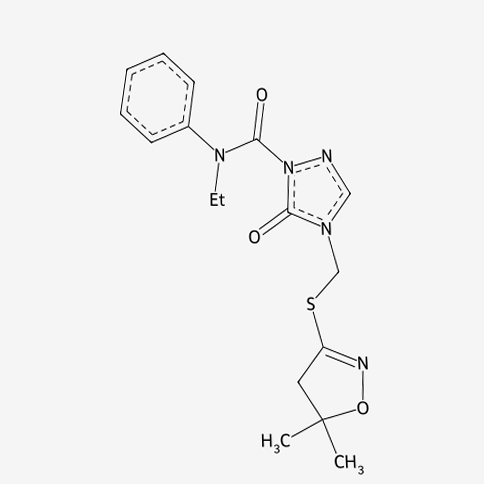 CCN(C(=O)n1ncn(CSC2=NOC(C)(C)C2)c1=O)c1ccccc1